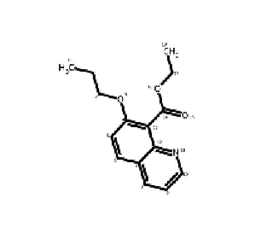 CCCOc1ccc2cccnc2c1C(=O)OCC